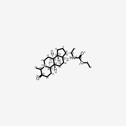 CCOC(=O)NC(C)[C@H]1CC[C@H]2[C@@H]3CCN4C(C)C(=O)CC[C@]4(C)[C@H]3CC[C@]12C